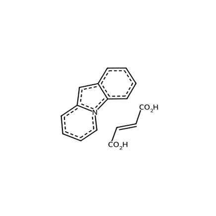 O=C(O)C=CC(=O)O.c1ccc2c(c1)cc1ccccn12